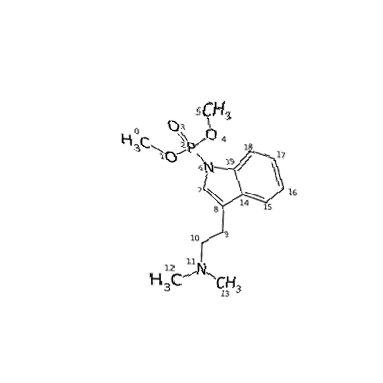 COP(=O)(OC)n1cc(CCN(C)C)c2ccccc21